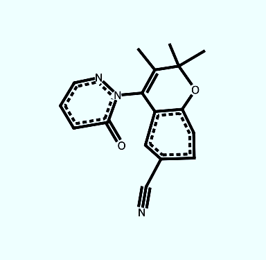 CC1=C(n2ncccc2=O)c2cc(C#N)ccc2OC1(C)C